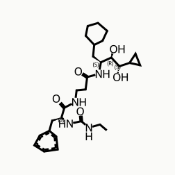 CCNC(=O)N[C@@H](Cc1ccccc1)C(=O)NCCC(=O)N[C@@H](CC1CCCCC1)[C@@H](O)[C@@H](O)C1CC1